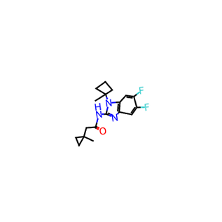 CC1(CC(=O)Nc2nc3cc(F)c(F)cc3n2C2(C)CCC2)CC1